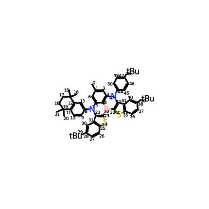 Cc1cc2c3c(c1)N(c1ccc4c(c1)C(C)(C)CCC4(C)C)c1c(sc4ccc(C(C)(C)C)cc14)B3c1sc3ccc(C(C)(C)C)cc3c1N2c1ccc(C(C)(C)C)cc1